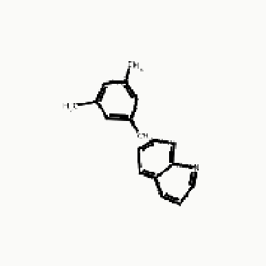 Cc1cc(C)cc(C)c1.c1ccc2ncccc2c1